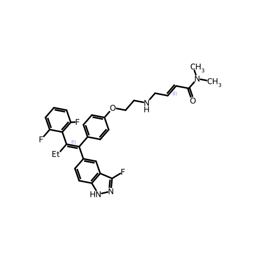 CC/C(=C(/c1ccc(OCCNC/C=C/C(=O)N(C)C)cc1)c1ccc2[nH]nc(F)c2c1)c1c(F)cccc1F